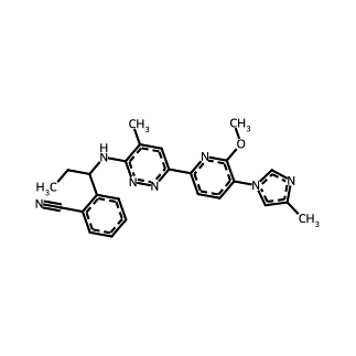 CCC(Nc1nnc(-c2ccc(-n3cnc(C)c3)c(OC)n2)cc1C)c1ccccc1C#N